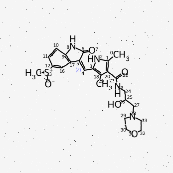 Cc1[nH]c(/C=C2\C(=O)Nc3ccc([S+](C)[O-])cc32)c(C)c1C(=O)NCC(O)CN1CCOCC1